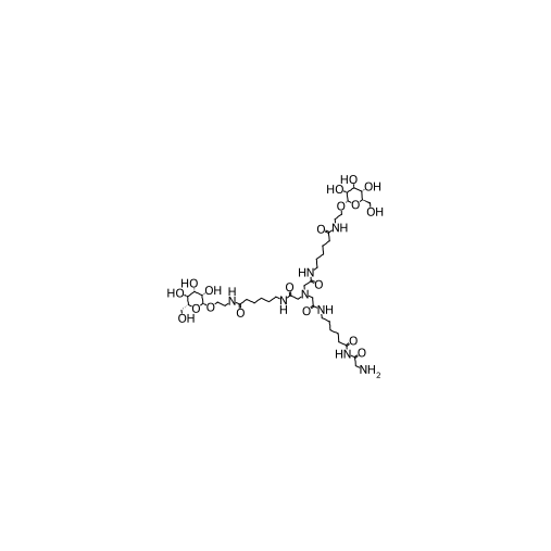 NCC(=O)NC(=O)CCCCCNC(=O)CN(CC(=O)NCCCCCC(=O)NCCO[C@H]1O[C@H](CO)[C@@H](O)[C@H](O)[C@@H]1O)CC(=O)NCCCCCC(=O)NCCO[C@H]1O[C@H](CO)[C@@H](O)[C@H](O)[C@@H]1O